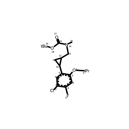 CC(C)Oc1cc(F)c(Cl)cc1C1CC1CN(C)C(=O)OC(C)(C)C